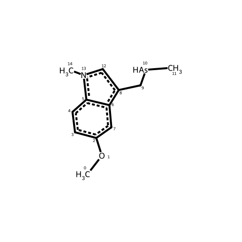 COc1ccc2c(c1)c(C[AsH]C)cn2C